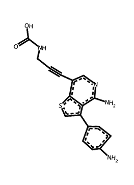 Nc1ccc(-c2csc3c(C#CCNC(=O)O)cnc(N)c23)cc1